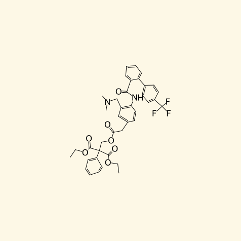 CCOC(=O)C(COC(=O)Cc1ccc(NC(=O)c2ccccc2-c2ccc(C(F)(F)F)cc2)c(CN(C)C)c1)(C(=O)OCC)c1ccccc1